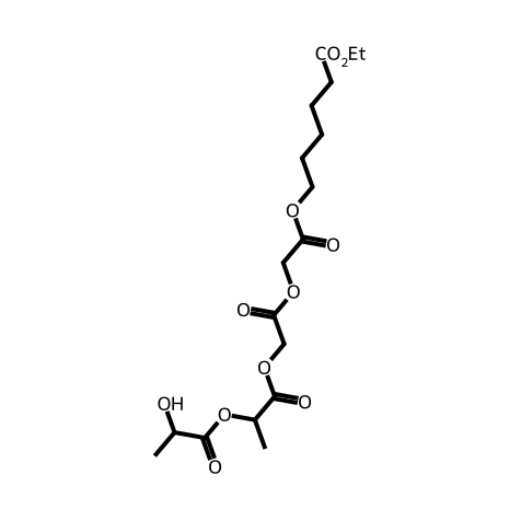 CCOC(=O)CCCCCOC(=O)COC(=O)COC(=O)C(C)OC(=O)C(C)O